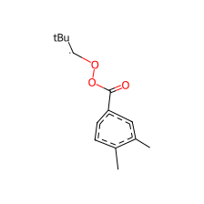 Cc1ccc(C(=O)OO[CH]C(C)(C)C)cc1C